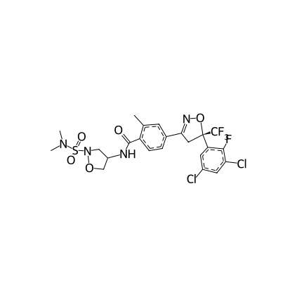 Cc1cc(C2=NO[C@@](c3cc(Cl)cc(Cl)c3F)(C(F)(F)F)C2)ccc1C(=O)NC1CON(S(=O)(=O)N(C)C)C1